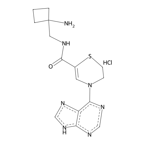 Cl.NC1(CNC(=O)C2=CN(c3ncnc4[nH]cnc34)CCS2)CCC1